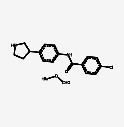 CC(C)(C)OC=O.O=C(Nc1ccc(C2CCNC2)cc1)c1ccc(Cl)cc1